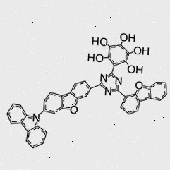 Oc1c(O)c(O)c(-c2nc(-c3ccc4c(c3)oc3cc(-n5c6ccccc6c6ccccc65)ccc34)nc(-c3cccc4c3oc3ccccc34)n2)c(O)c1O